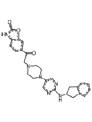 O=C(CN1CCN(c2cnc(NC3Cc4ccccc4C3)nc2)CC1)c1ccc2[nH]c(=O)oc2c1